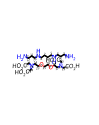 NCCCNCCCCNCCCN.O=C(O)CN(CCOCCOCCN(CC(=O)O)CC(=O)O)CC(=O)O